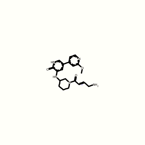 COc1cc(-c2c[nH]c(=O)c(NC3CCCN(C(=O)/C=C/CN)C3)c2)ccn1